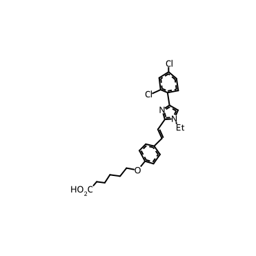 CCn1cc(-c2ccc(Cl)cc2Cl)nc1/C=C/c1ccc(OCCCCCC(=O)O)cc1